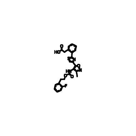 Cc1noc(-c2csc(-c3ccccc3CC(=O)O)n2)c1NC(=O)OCCc1ccccc1F